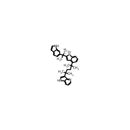 CC(C)(CCC(C)(C)c1c[nH]c2cccnc12)c1cccc2[nH]c(C(C)(C)c3ccc4cc[nH]c4c3)cc12